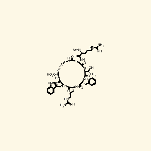 CC(=O)N[C@@H](CCCNC(=N)N)C(=O)N[C@H]1CC(=O)NCCCC[C@@H](C(=O)O)NC(=O)[C@H](Cc2c[nH]c3ccccc23)NC(=O)[C@H](CCCNC(=N)N)NC(=O)[C@@H](Cc2ccccc2)NC(=O)[C@H]([C@@H](C)O)NC1=O